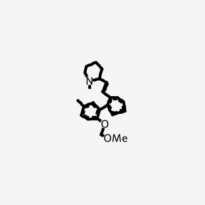 COCOc1ccc(C)cc1-c1ccccc1C=CC1CCCCN1C